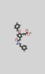 COC(=O)C=Cc1cc(CC(=O)N(C)CCc2ccccc2)ccc1OCc1ccccc1